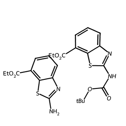 CCOC(=O)c1cccc2nc(N)sc12.CCOC(=O)c1cccc2nc(NC(=O)OC(C)(C)C)sc12